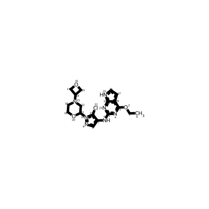 CCOc1nc(Nc2cnn(C3CN(C4COC4)CCO3)c2Cl)nc2[nH]ccc12